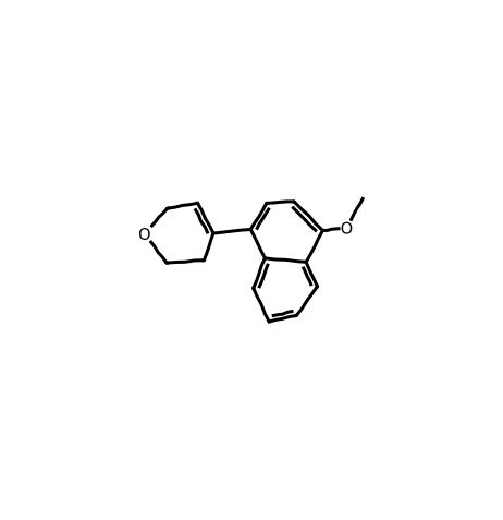 COc1ccc(C2=CCOCC2)c2ccccc12